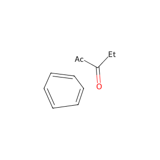 CCC(=O)C(C)=O.c1ccccc1